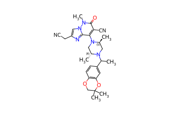 CC(c1ccc2c(c1)OC(C)(C)CO2)N1C[C@H](C)N(c2c(C#N)c(=O)n(C)n3cc(CC#N)nc23)C[C@H]1C